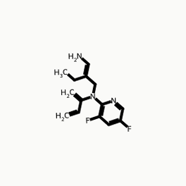 C=CC(=C)N(C/C(=C/N)CC)c1ncc(F)cc1F